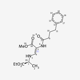 CCOC(=O)[C@H](C)N/C=C(/NC(=O)CCCc1ccccc1)C(=O)OC